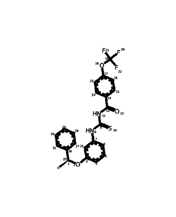 C[C@H](Oc1cccc(NC(=S)NC(=O)c2ccc(OC(F)(F)F)cc2)c1)c1ccccc1